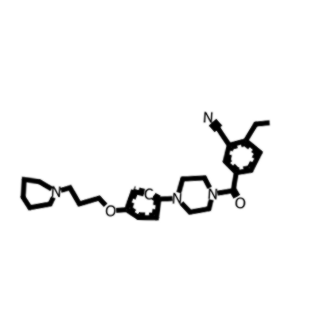 CCc1ccc(C(=O)N2CCN(c3ccc(OCCCN4CCCCC4)cc3)CC2)cc1C#N